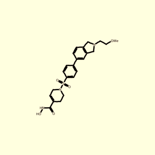 COCCN1Cc2ccc(-c3ccc(S(=O)(=O)N4CC=C(C(=O)NO)CC4)cc3)cc2C1